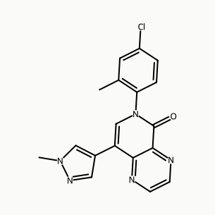 Cc1cc(Cl)ccc1-n1cc(-c2cnn(C)c2)c2nccnc2c1=O